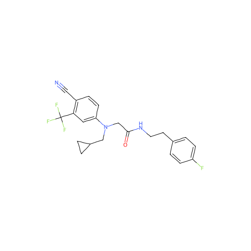 N#Cc1ccc(N(CC(=O)NCCc2ccc(F)cc2)CC2CC2)cc1C(F)(F)F